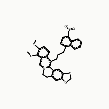 COc1ccc2c(CCCc3ccc([N+](=O)[O-])c4ccccc34)c3[n+](cc2c1OC)CCc1cc2c(cc1-3)OCO2